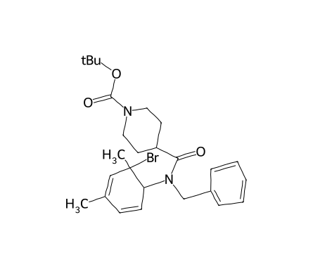 CC1=CC(C)(Br)C(N(Cc2ccccc2)C(=O)C2CCN(C(=O)OC(C)(C)C)CC2)C=C1